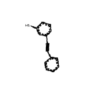 [SeH]c1cccc(C#Cc2c[c]ccc2)c1